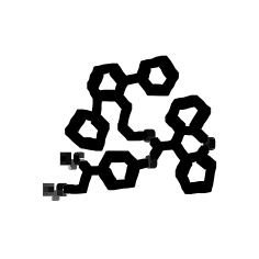 CCC(C)c1ccc(OC(OCCCc2c(-c3ccccc3)cccc2-c2ccccc2)C2c3ccccc3Oc3ccccc32)cc1